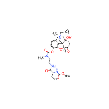 CC(C)C[C@H](NC(=O)OC(C)(C)C)C(=O)NCCN(C)C(=O)Oc1ccc2c3c1O[C@H]1C(=O)CC[C@@]4(O)C(C2)[N@+](C)(CC2CC2)CC[C@]314